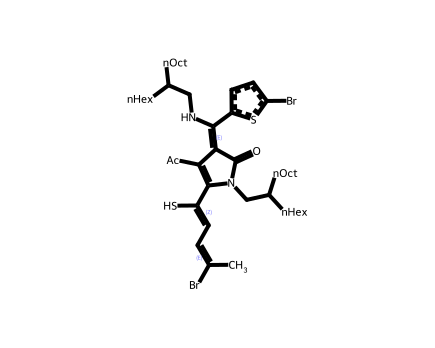 CCCCCCCCC(CCCCCC)CN/C(=C1/C(=O)N(CC(CCCCCC)CCCCCCCC)C(C(/S)=C/C=C(\C)Br)=C1C(C)=O)c1ccc(Br)s1